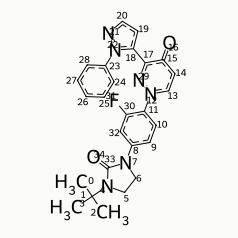 CC(C)(C)N1CCN(c2ccc(-n3ccc(=O)c(-c4ccnn4-c4ccccc4)n3)c(F)c2)C1=O